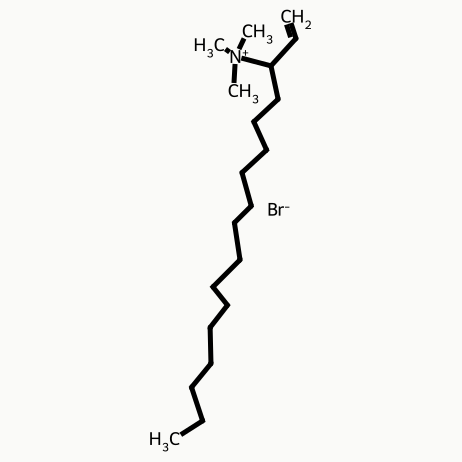 C=CC(CCCCCCCCCCCCCC)[N+](C)(C)C.[Br-]